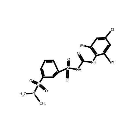 CC(C)c1cc(Cl)cc(C(C)C)c1NC(=O)NS(=O)(=O)c1cccc(S(=O)(=O)N(C)C)c1